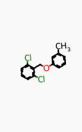 Cc1cccc(OCc2c(Cl)cccc2Cl)c1